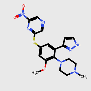 COc1cc(Sc2cncc([N+](=O)[O-])n2)cc(-c2cc[nH]n2)c1N1CCN(C)CC1